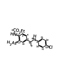 CCOC(=O)Nc1ccc(C(C)Nc2ccc(Cl)cc2)cc1[AsH2]